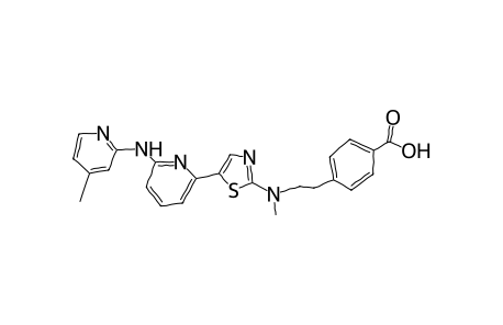 Cc1ccnc(Nc2cccc(-c3cnc(N(C)CCc4ccc(C(=O)O)cc4)s3)n2)c1